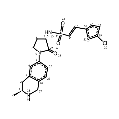 C[C@H]1Cc2cc(N3CC[C@H](NS(=O)(=O)/C=C/c4ccc(Cl)s4)C3=O)ccc2CN1